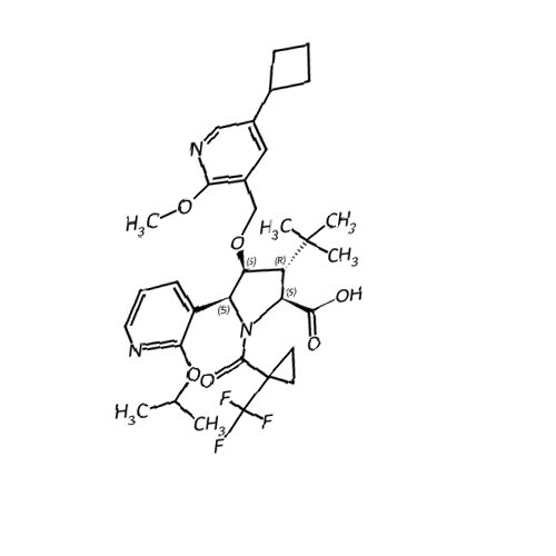 COc1ncc(C2CCC2)cc1CO[C@H]1[C@H](C(C)(C)C)[C@@H](C(=O)O)N(C(=O)C2(C(F)(F)F)CC2)[C@H]1c1cccnc1OC(C)C